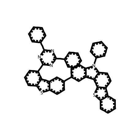 c1ccc(-c2nc(-c3ccccc3)nc(-c3cccc4sc5ccc(-c6ccc7c(c6)c6c8sc9ccccc9c8ccc6n7-c6ccccc6)cc5c34)n2)cc1